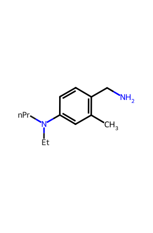 CCCN(CC)c1ccc(CN)c(C)c1